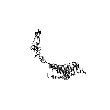 Cc1ncsc1-c1ccc(CNC(=O)[C@@H]2C[C@@H](O)CN2C(=O)[C@@H](NC(=O)COCCCCOc2ccc(-c3ccc(N4CC(=O)N(c5ccc(C#N)c(C(F)(F)F)c5)C4=S)cc3)c(F)c2)C(C)(C)C)cc1